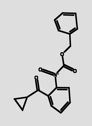 O=C(c1ccccc1[N+](=O)C(=O)OCc1ccccc1)C1CC1